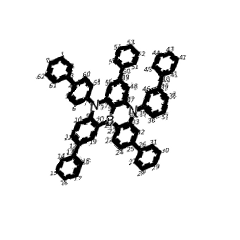 c1ccc(-c2ccc(N3c4ccc(-c5ccccc5)cc4B4c5ccc(-c6ccccc6)cc5N(c5cccc(-c6ccccc6)c5)c5cc(-c6ccccc6)cc3c54)cc2)cc1